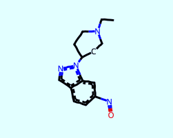 CCN1CCC(n2ncc3ccc(N=O)cc32)CC1